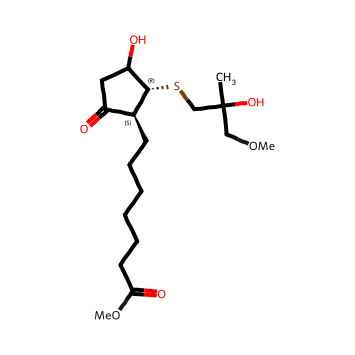 COCC(C)(O)CS[C@H]1C(O)CC(=O)[C@@H]1CCCCCCC(=O)OC